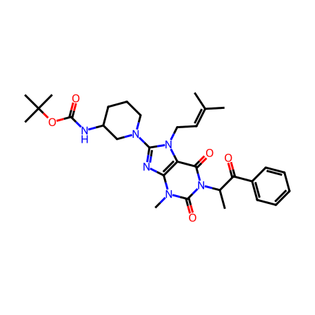 CC(C)=CCn1c(N2CCCC(NC(=O)OC(C)(C)C)C2)nc2c1c(=O)n(C(C)C(=O)c1ccccc1)c(=O)n2C